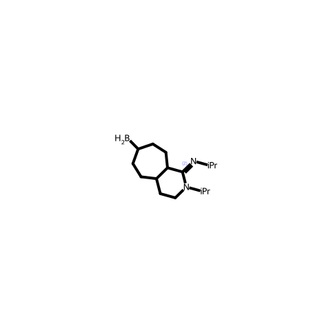 BC1CCC2CCN(C(C)C)/C(=N\C(C)C)C2CC1